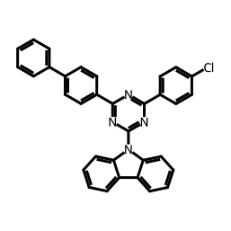 Clc1ccc(-c2nc(-c3ccc(-c4ccccc4)cc3)nc(-n3c4ccccc4c4ccccc43)n2)cc1